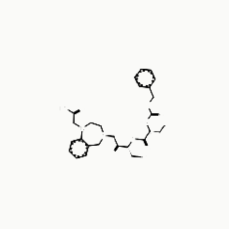 CC(C)C[C@H](NC(=O)[C@H](CC(C)C)NC(=O)OCc1ccccc1)C(=O)CN1CCN(CC(N)=O)c2ccccc2C1